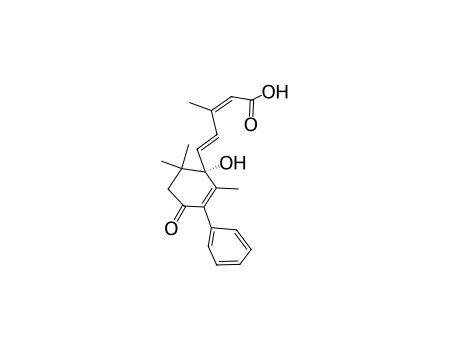 CC1=C(c2ccccc2)C(=O)CC(C)(C)[C@@]1(O)/C=C/C(C)=C\C(=O)O